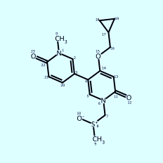 Cn1cc(-c2cn(C[S+](C)[O-])c(=O)cc2OCC2CC2)ccc1=O